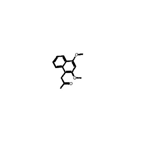 COc1cc(OC)c2ccccc2c1CC(C)=O